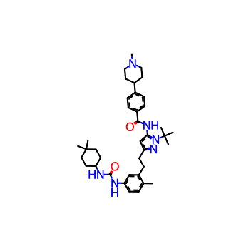 Cc1ccc(NC(=O)NC2CCC(C)(C)CC2)cc1CCc1cc(NC(=O)c2ccc(C3CCN(C)CC3)cc2)n(C(C)(C)C)n1